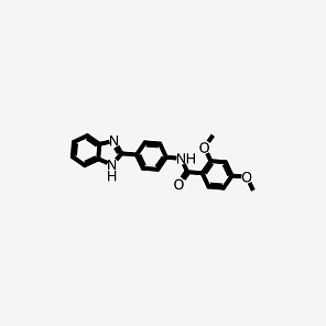 COc1ccc(C(=O)Nc2ccc(-c3nc4ccccc4[nH]3)cc2)c(OC)c1